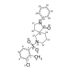 Cc1c(Cl)cccc1S(=O)(=O)N1CCCC2(CCN(c3ccccc3)C2=O)C1